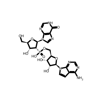 Nc1ncnc2c1ccn2[C@@H]1O[C@H](COP(=O)(O)[C@@H]2[C@H](O)[C@@H](CO)O[C@H]2n2cnc3c(=O)[nH]cnc32)[C@@H](O)[C@H]1O